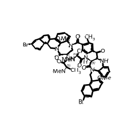 CN[C@@H](C)C(=O)N[C@H]1CN(C(=O)c2ccc(C(=O)C3Nc4ccccc4N(Cc4c(OC)ccc5cc(Br)ccc45)C(=O)[C@H]3NC(=O)[C@H](C)NC)cc2C)c2ccccc2N(Cc2c(OC)ccc3cc(Br)ccc23)C1=O